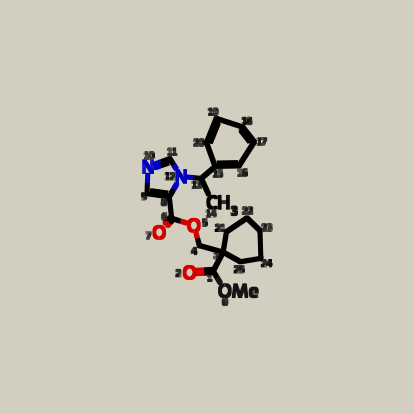 COC(=O)C1(COC(=O)c2cncn2C(C)c2ccccc2)CCCCC1